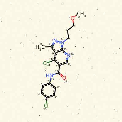 COCCCn1nc(C)c2c(Cl)c(C(=O)Nc3ccc(Cl)cc3)cnc21